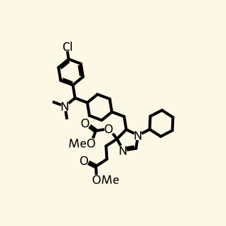 COC(=O)CCC1(OC(=O)OC)N=CN(C2CCCCC2)C1CC1CCC(C(c2ccc(Cl)cc2)N(C)C)CC1